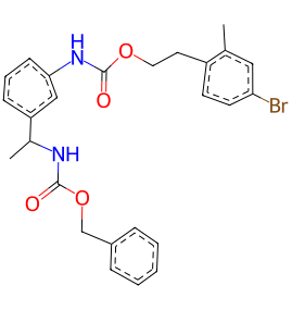 Cc1cc(Br)ccc1CCOC(=O)Nc1cccc(C(C)NC(=O)OCc2ccccc2)c1